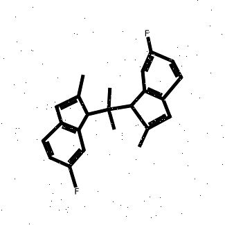 CC1=Cc2ccc(F)cc2C1C(C)(C)C1C(C)=Cc2ccc(F)cc21